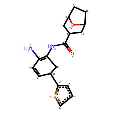 NC1=C(NC(=O)C2CC3CCC(C2)O3)CC(c2cccs2)C=C1